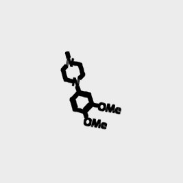 COc1ccc(N2CCN(C)CC2)cc1OC